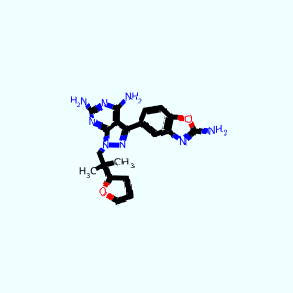 CC(C)(Cn1nc(-c2ccc3oc(N)nc3c2)c2c(N)nc(N)nc21)C1CCCO1